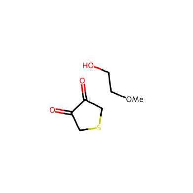 COCCO.O=C1CSCC1=O